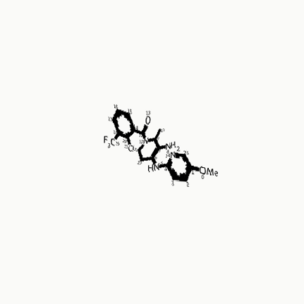 COc1ccc(NC2=C(N)C(C)N(C(=O)c3cccc(C(F)(F)F)c3Cl)CC2)nc1